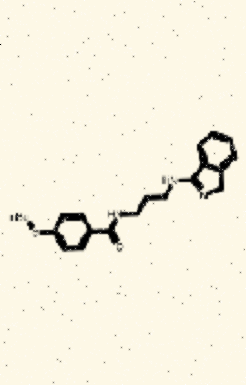 CCCCOc1ccc(C(=O)NCCCNC2=NCc3ccccc32)cc1